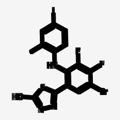 Cc1cc(I)ccc1Nc1c(-c2nnc(O)s2)cc(Br)c(F)c1F